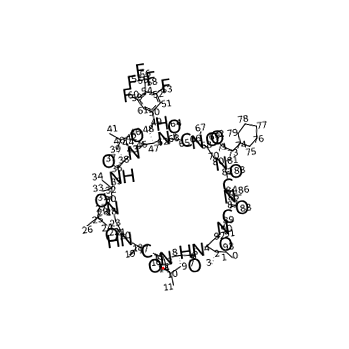 CC[C@H](C)[C@@H]1NC(=O)[C@H](CC(C)C)N(C)C(=O)C[C@@H](C)NC(=O)[C@H](CC(C)C)N(C)C(=O)C(C)(C)NC(=O)[C@H](CC(C)C)N(C)C(=O)[C@H](CCc2cc(F)c(C(F)(F)F)c(F)c2)NC(=O)CN(C)C(=O)[C@H](C(=O)CC2CCCCC2)N(C)C(=O)CN(C)C(=O)CN(C)C1=O